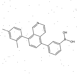 Cc1ccc(-c2ccc(-c3cccc(B(O)O)c3)c3ccncc23)c(C)c1